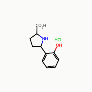 Cl.O=C(O)C1CCC(c2ccccc2O)N1